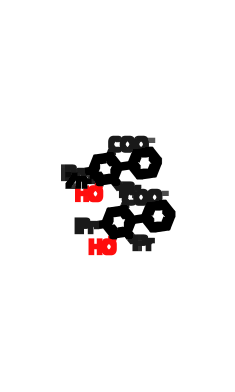 CC(C)c1cc(C(=O)[O-])c(-c2ccccc2)c(C(C)C)c1O.CC(C)c1cc(C(=O)[O-])c(-c2ccccc2)c(C(C)C)c1O.[Zn+2]